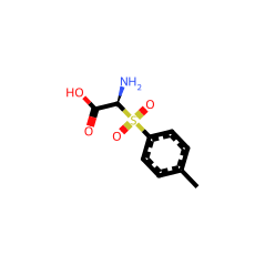 Cc1ccc(S(=O)(=O)[C@H](N)C(=O)O)cc1